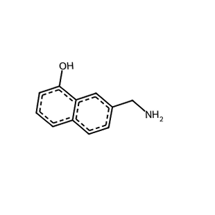 NCc1ccc2cccc(O)c2c1